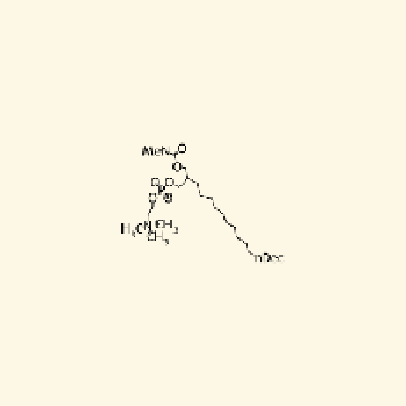 CCCCCCCCCCCCCCCCCCCCC(COC(=O)NC)COP(=O)([O-])OCC[N+](C)(C)C